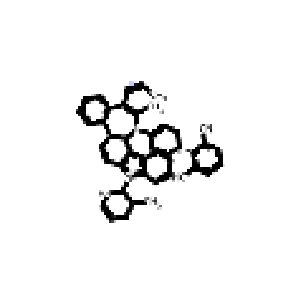 C/C=C\C1=C(C)N(C2=CC[C@H](c3c(C#N)cccc3C#N)C=C2)C2c3c4c(n(C5NC=CCC5C)c3C=CC2c2ccccc21)C=CCC4